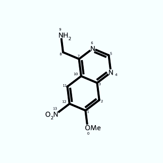 COc1cc2ncnc(CN)c2cc1[N+](=O)[O-]